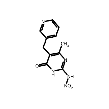 Cc1nc(N[N+](=O)[O-])[nH]c(=O)c1Cc1cccnc1